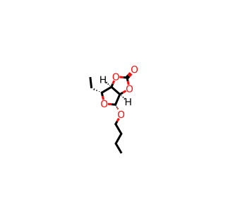 CCCCO[C@@H]1O[C@H](CC)[C@H]2OC(=O)O[C@@H]12